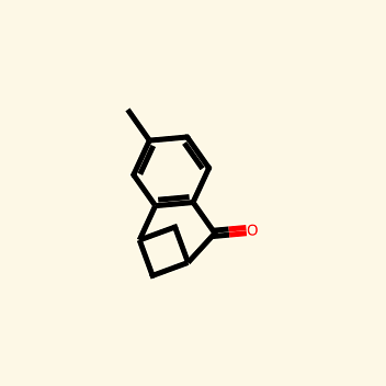 Cc1ccc2c(c1)C1CC(C1)C2=O